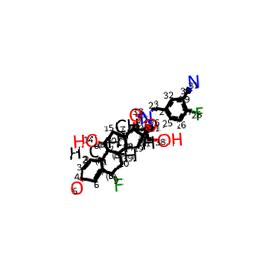 C[C@]12C=CC(=O)C=C1[C@@H](F)C[C@@H]1C2[C@@H](O)C[C@@]2(C)[C@H]1C[C@H]1CN(Cc3ccc(F)c(C#N)c3)O[C@]12C(=O)CO